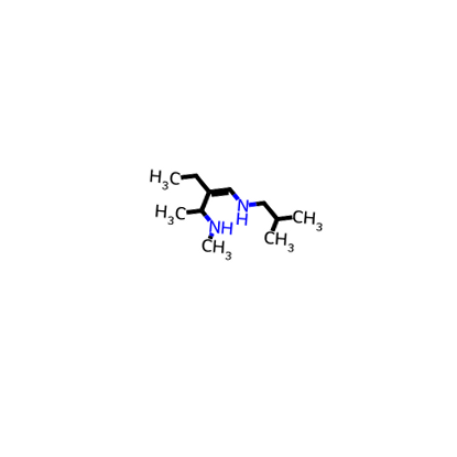 CC/C(=C/NCC(C)C)C(C)NC